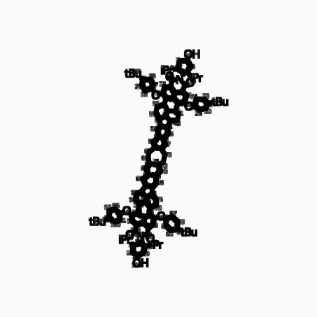 CC(C)c1cc(O)cc(C(C)C)c1N1C(=O)c2cc(Oc3ccc(C(C)(C)C)cc3)c3c4c(c(Oc5ccc(C(C)(C)C)cc5)cc(c24)C1=O)C1=CC=C2c4cc5cc6c(cc5cc4C4=CC=C3C1C42)CCc1cc2cc3c(cc2cc1CC6)-c1ccc2c4c(Oc5ccc(C(C)(C)C)cc5)cc5c6c(cc(Oc7ccc(C(C)(C)C)cc7)c(c7ccc-3c1c72)c64)C(=O)N(c1c(C(C)C)cc(O)cc1C(C)C)C5=O